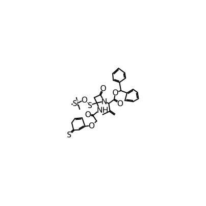 C=C(C)C(C(=O)OC(c1ccccc1)c1ccccc1)N1C(=O)CC1(NC(=O)COC1=CC(=S)CC=C1)SO[Si](C)(C)C